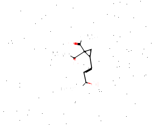 CCCCCC(O)/C=C/C1CC1(C(=O)OC)C(=O)OC